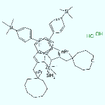 CCCC1(CC2=Cc3c(-c4ccc([Si](C)(C)C)cc4)cccc3[CH]2[Zr]([CH3])([CH3])(=[SiH2])[CH]2C(CC3(CCC)CCCCCCC3)=Cc3c(-c4ccc([Si](C)(C)C)cc4)cccc32)CCCCCCC1.Cl.Cl